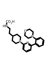 O=C(O)NCCC1CCN(c2cccc(-c3ccccc3N3CCOCC3)n2)CC1